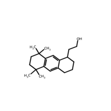 CC1(C)CCC(C)(C)c2cc3c(cc21)CCCC3CCO